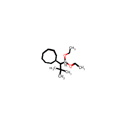 CCO[SiH](OCC)C(C1CCCCCCC1)C(C)(C)C